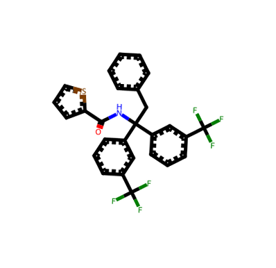 O=C(NC(Cc1ccccc1)(c1cccc(C(F)(F)F)c1)c1cccc(C(F)(F)F)c1)c1cccs1